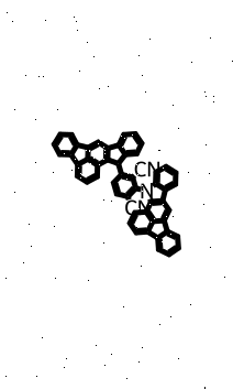 N#Cc1ccc(C2c3ccccc3-c3cc4c5c(cccc5c32)-c2ccccc2-4)c(C#N)c1-n1c2ccccc2c2cc3c4c(cccc4c21)-c1ccccc1-3